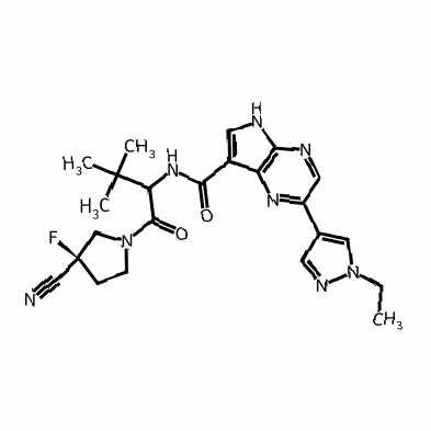 CCn1cc(-c2cnc3[nH]cc(C(=O)NC(C(=O)N4CC[C@](F)(C#N)C4)C(C)(C)C)c3n2)cn1